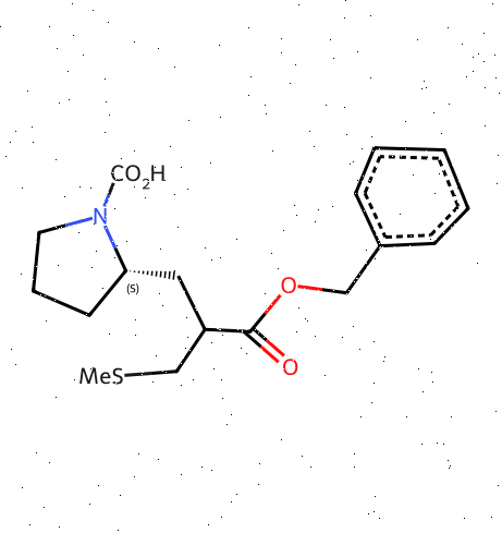 CSCC(C[C@@H]1CCCN1C(=O)O)C(=O)OCc1ccccc1